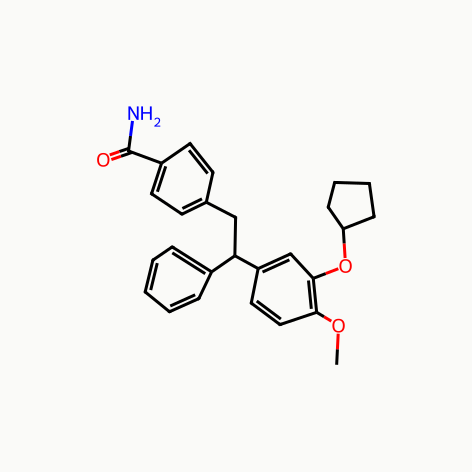 COc1ccc(C(Cc2ccc(C(N)=O)cc2)c2ccccc2)cc1OC1CCCC1